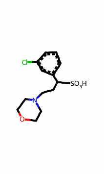 O=S(=O)(O)C(CCN1CCOCC1)c1cccc(Cl)c1